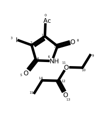 CC(=O)C1=C(I)C(=O)NC1=O.CCOC(=O)CC